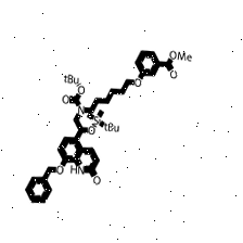 COC(=O)c1cccc(OCCCCCCN(CC(O[Si](C)(C)C(C)(C)C)c2ccc(OCc3ccccc3)c3[nH]c(=O)ccc23)C(=O)OC(C)(C)C)c1